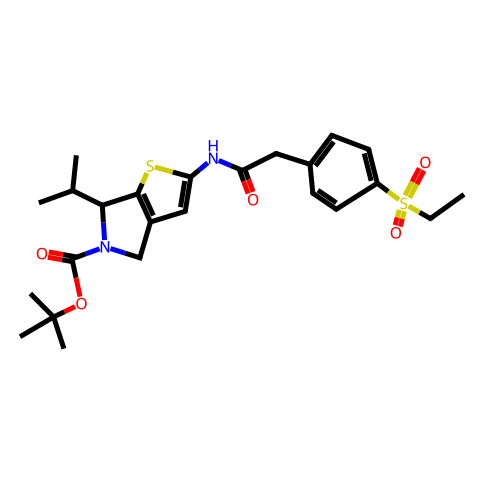 CCS(=O)(=O)c1ccc(CC(=O)Nc2cc3c(s2)C(C(C)C)N(C(=O)OC(C)(C)C)C3)cc1